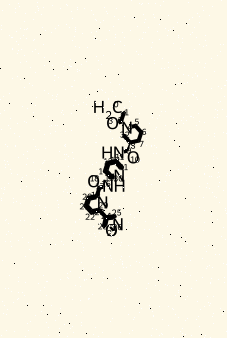 C=CC(=O)N1CCC[C@@H](C(=O)Nc2ccc(NC(=O)c3cccc(-c4cnoc4)n3)nc2)C1